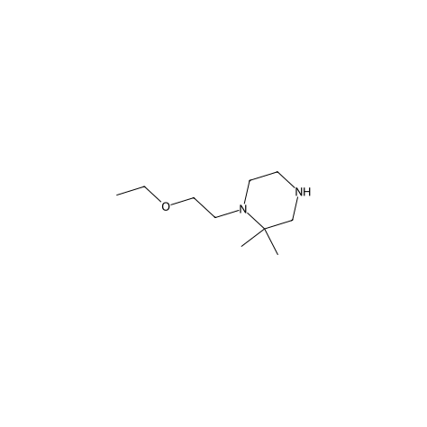 CCOCCN1CCNCC1(C)C